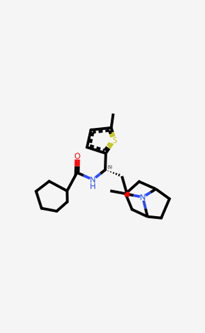 Cc1ccc([C@H](CCN2C3CCC2CC(C)C3)NC(=O)C2CCCCC2)s1